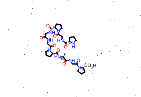 C[C@H](NC(=O)[C@@H]1CCCN1C(=O)CNC(=O)[C@H](C)NC(=O)[C@@H]1CCCN1C(=O)CNC(=O)[C@@H]1CCCN1)C(=O)NCC(=O)N1CCC[C@H]1C(=O)O